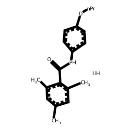 CCCOc1ccc(PC(=O)c2c(C)cc(C)cc2C)cc1.[LiH]